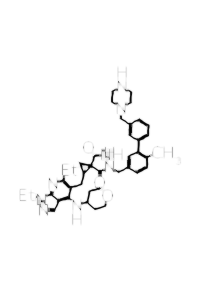 CCc1nc2c(cnn2CC)c(NC2CCOCC2)c1CC1CC1(C(N)=O)C(=O)NCc1ccc(C)c(-c2cccc(CN3CCNCC3)c2)c1